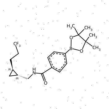 CC1(C)OB(c2ccc(C(=O)NC[C@@H]3C[C@H]3CCC(F)(F)F)cc2)OC1(C)C